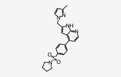 Cc1ccn(Cc2cc3c(-c4ccc(S(=O)(=O)N5CCCC5)cc4)ccnc3[nH]2)n1